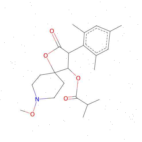 CON1CCC2(CC1)OC(=O)C(c1c(C)cc(C)cc1C)C2OC(=O)C(C)C